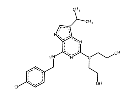 CC(C)n1cnc2c(NCc3ccc(Cl)cc3)nc(N(CCO)CCO)nc21